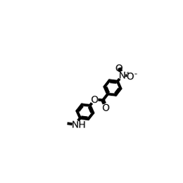 CNc1ccc(OC(=O)c2ccc([N+](=O)[O-])cc2)cc1